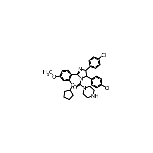 COc1ccc(C2=NC(c3ccc(Cl)cc3)C(c3ccc(Cl)cc3)N2C(=O)N2CCNCC2)c(OC2CCCC2)c1